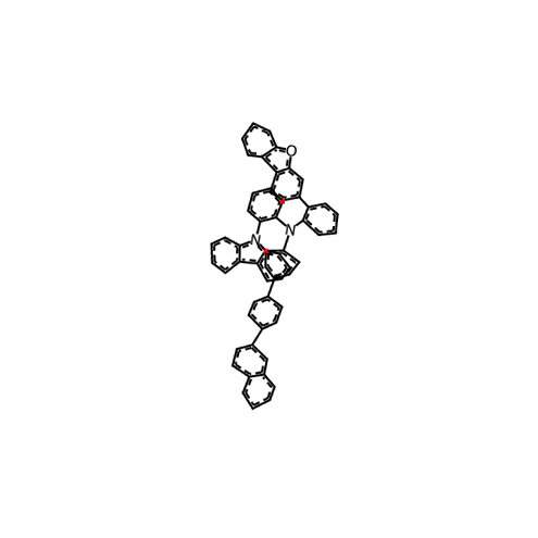 c1ccc(N(c2ccc(-c3ccc(-c4ccc5ccccc5c4)cc3)cc2)c2ccccc2-n2c3ccccc3c3ccccc32)c(-c2ccc3c(c2)oc2ccccc23)c1